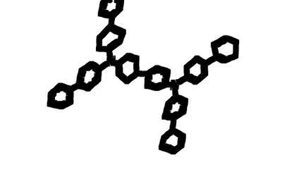 C1=CCC(c2ccc(N(C3=CC=C(C4=CCCC=C4)CC3)c3ccc(C4C=CC(N(C5=CC=C(c6ccccc6)CC5)c5ccc(-c6ccccc6)cc5)=CC4)cc3)cc2)C=C1